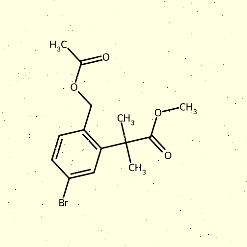 COC(=O)C(C)(C)c1cc(Br)ccc1COC(C)=O